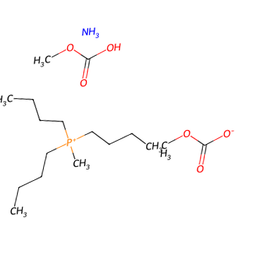 CCCC[P+](C)(CCCC)CCCC.COC(=O)O.COC(=O)[O-].N